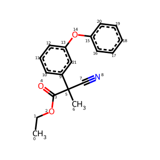 CCOC(=O)C(C)(C#N)c1cccc(Oc2ccccc2)c1